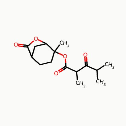 CC(C)C(=O)C(C)C(=O)OC1(C)CCC2CC1OC2=O